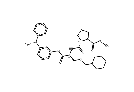 CN(c1ccccc1)c1cccc(NC(=O)[C@H](CSCC2CCCCC2)NC(=O)[C@@H]2CSCN2C(=O)OC(C)(C)C)c1